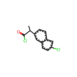 CC(C(=O)Cl)c1ccc2cc(Cl)ccc2c1